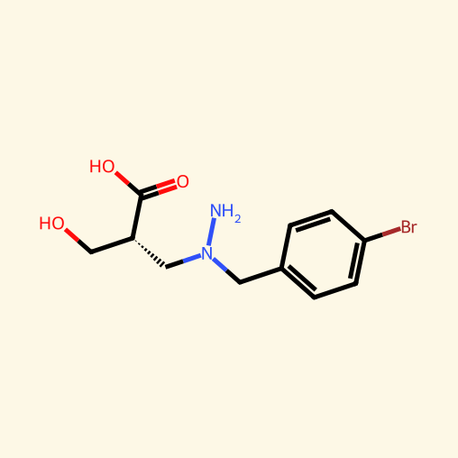 NN(Cc1ccc(Br)cc1)C[C@H](CO)C(=O)O